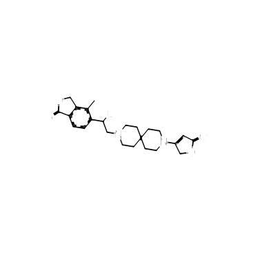 Cc1c(C(Cl)CN2CCC3(CC2)CCN(C2=CC(=O)OC2)CC3)ccc2c1COC2=O